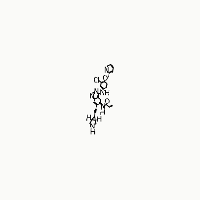 C=CC(=O)Nc1cc2c(Nc3ccc(OCc4ccccn4)c(Cl)c3)ncnc2cc1C#C[C@H]1[C@H]2CNC[C@@H]12